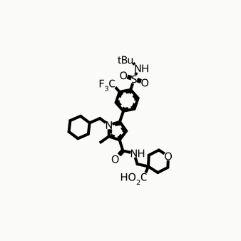 Cc1c(C(=O)NCC2(C(=O)O)CCOCC2)cc(-c2ccc(S(=O)(=O)NC(C)(C)C)c(C(F)(F)F)c2)n1CC1CCCCC1